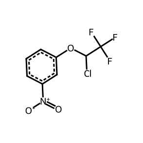 O=[N+]([O-])c1cccc(OC(Cl)C(F)(F)F)c1